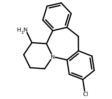 NC1CCCN2c3cc(Cl)ccc3Cc3ccccc3C12